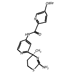 COc1ccc(C(=O)Nc2ccnc([C@]3(C)CCSC(N)=N3)c2)nc1